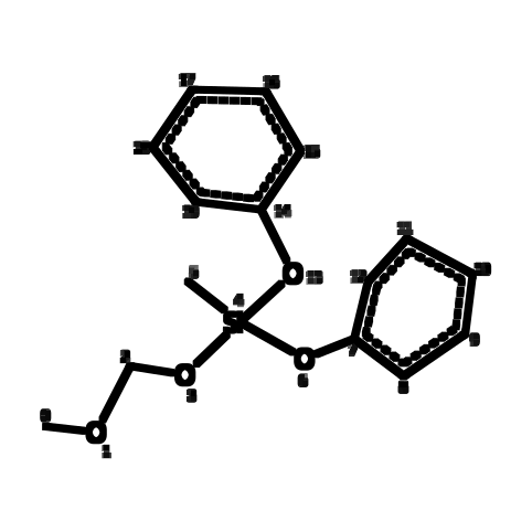 COCO[Si](C)(Oc1ccccc1)Oc1ccccc1